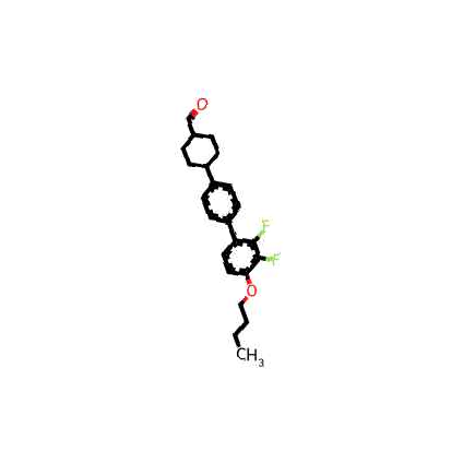 CCCCOc1ccc(-c2ccc(C3CCC(C=O)CC3)cc2)c(F)c1F